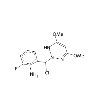 COC1=CC(OC)=NN(C(Cl)c2cccc(F)c2N)N1